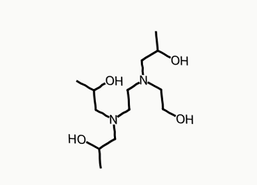 CC(O)CN(CCO)CCN(CC(C)O)CC(C)O